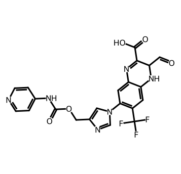 O=CC1Nc2cc(C(F)(F)F)c(-n3cnc(COC(=O)Nc4ccncc4)c3)cc2N=C1C(=O)O